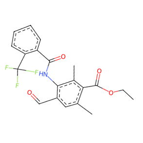 CCOC(=O)c1c(C)cc(C=O)c(NC(=O)c2ccccc2C(F)(F)F)c1C